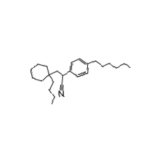 CCCCCCc1ccc(C(C#N)CC2(CCCC)CCCCC2)cc1